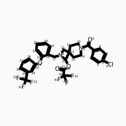 O=C(c1ccc(Cl)cc1)N1CCC2(CC1)CN(Cc1ccccc1Oc1cccc(C(F)(F)F)c1)C2OC(=O)C(F)(F)F